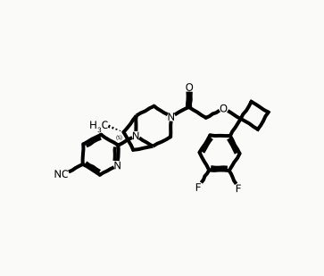 C[C@H]1CC2CN(C(=O)COC3(c4ccc(F)c(F)c4)CCC3)CC1N2c1ccc(C#N)cn1